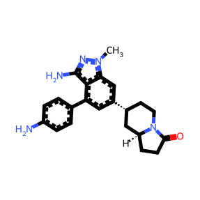 Cn1nc(N)c2c(-c3ccc(N)cc3)cc([C@@H]3CCN4C(=O)CC[C@H]4C3)cc21